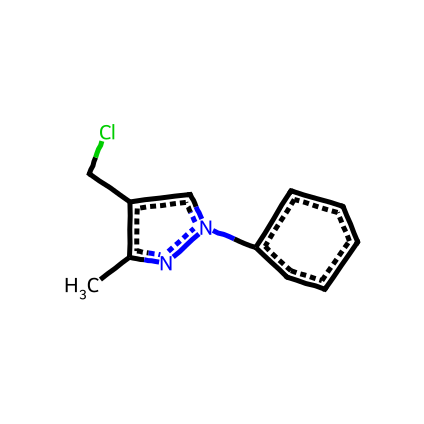 Cc1nn(-c2ccccc2)cc1CCl